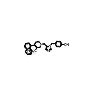 N#Cc1ccc(Cn2cncc2CN2CCC(c3cccc4ccccc34)=C(C(=O)O)C2)cc1